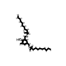 CCCCCCCCCC(C)(C)SCc1cc(C)c(O)c(CSC(C)(C)CCCCCCCCC)c1